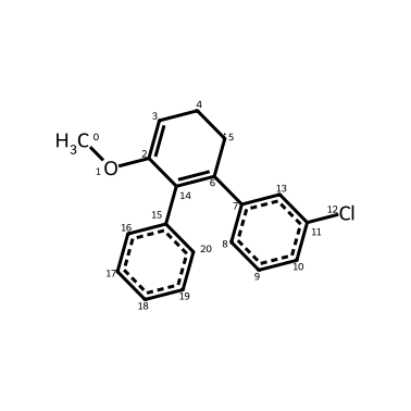 COC1=CC[CH]C(c2cccc(Cl)c2)=C1c1ccccc1